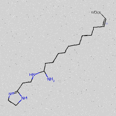 CCCCCCCC/C=C\CCCCCCCCCC(N)NCCC1=NCCN1